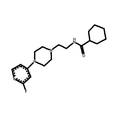 O=C(NCCN1CCN(c2ccnc(F)c2)CC1)C1CCCCC1